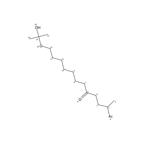 CC(=O)C(C)CCC(=O)CCCCCCCOC(C)(C)O